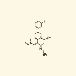 C=CN/C=C(C(=C)N(CC(C)C)CC(C)c1cccc(F)c1)/C(C)=N/CC(C)C